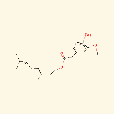 COc1cc(CC(=O)OCC[C@H](C)CCC=C(C)C)ccc1O